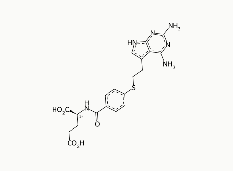 Nc1nc(N)c2c(CCSc3ccc(C(=O)N[C@@H](CCC(=O)O)C(=O)O)cc3)c[nH]c2n1